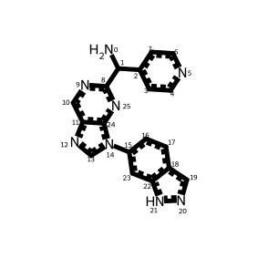 NC(c1ccncc1)c1ncc2ncn(-c3ccc4cn[nH]c4c3)c2n1